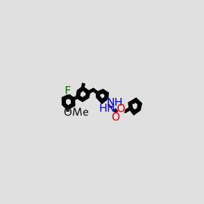 COc1ccc(F)c(-c2ccc(Cc3ccc(NNC(=O)OCc4ccccc4)cc3)c(C)c2)c1